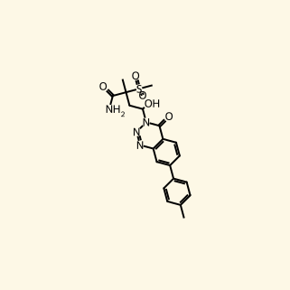 Cc1ccc(-c2ccc3c(=O)n(C(O)CC(C)(C(N)=O)S(C)(=O)=O)nnc3c2)cc1